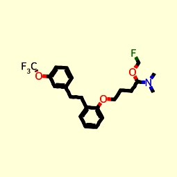 CN(C)C(CCCOc1ccccc1CCc1cccc(OC(F)(F)F)c1)OCF